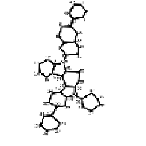 C1CCC(C2CCC3CC(N4C5CCCCC5C5C6C7CCC(C8CCCCC8)CC7N(C7CCCCC7)C6CCC54)CCC3C2)CC1